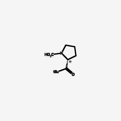 CC(C)(C)C(=O)[C@H]1CCCN1C(=O)O